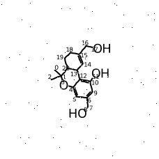 CC1(C)Oc2cc(CO)cc(O)c2C2C=C(CO)CCC21